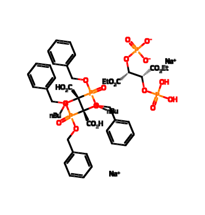 CCCCO[C@@](C(=O)O)([C@@](OCCCC)(C(=O)O)P(=O)(OCc1ccccc1)OCc1ccccc1)P(=O)(OCc1ccccc1)OCc1ccccc1.CCOC(=O)[C@H](OP(=O)([O-])[O-])[C@@H](OP(=O)(O)O)C(=O)OCC.[Na+].[Na+]